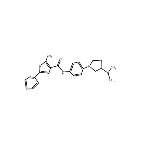 Cc1oc(-c2ccccc2)cc1C(=O)Nc1ccc(N2CCC(N(C)C)C2)cc1